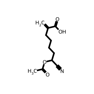 C=C(CCCCC(C#N)OC(C)=O)C(=O)O